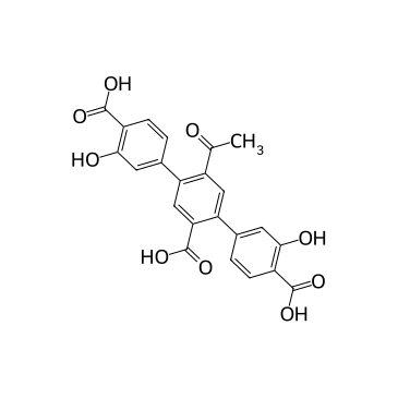 CC(=O)c1cc(-c2ccc(C(=O)O)c(O)c2)c(C(=O)O)cc1-c1ccc(C(=O)O)c(O)c1